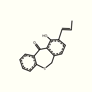 C/C=C/c1ccc2c(c1O)C(=O)c1ccccc1SC2